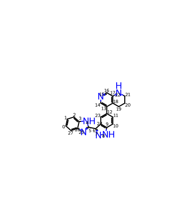 c1ccc2[nH]c(-c3n[nH]c4ccc(-c5cncc6c5CCCN6)cc34)nc2c1